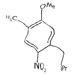 COc1cc(CC(C)C)c([N+](=O)[O-])cc1C